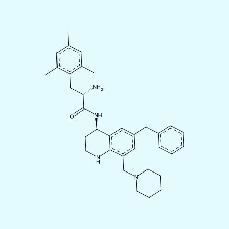 Cc1cc(C)c(C[C@H](N)C(=O)N[C@@H]2CCNc3c(CN4CCCCC4)cc(Cc4ccccc4)cc32)c(C)c1